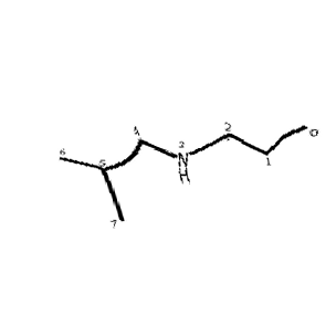 CC[CH]NCC(C)C